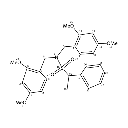 COc1ccc(CN(Cc2ccc(OC)cc2OC)S(=O)(=O)C(C)c2ccccc2)c(OC)c1